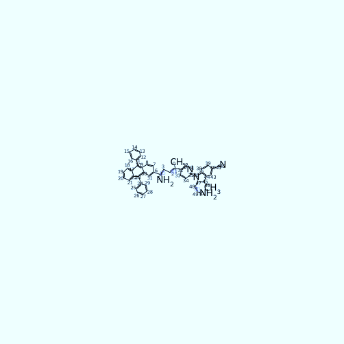 C/C(=C\C=C(/N)c1ccc2c(-c3ccccc3)c3ccccc3c(-c3ccccc3)c2c1)c1ccc(N2c3ccc(C#N)cc3C(C)C2/C=C\N)nc1